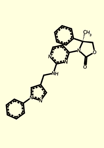 C[C@]1(c2ccccc2)COC(=O)N1c1ccnc(NCc2cnn(-c3ccccc3)c2)n1